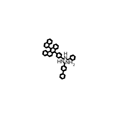 NC(NC(NCc1ccc(-c2ccccc2)cc1)c1ccc(-c2c3ccccc3c(-c3cccc4ccccc34)c3c2ccc2ccccc23)cc1)c1ccccc1